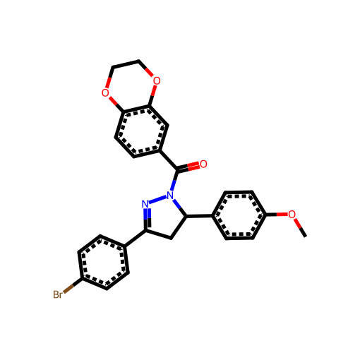 COc1ccc(C2CC(c3ccc(Br)cc3)=NN2C(=O)c2ccc3c(c2)OCCO3)cc1